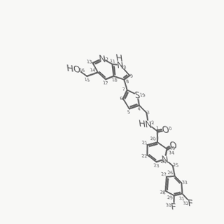 O=C(NCc1ccc(-c2c[nH]c3ncc(CO)cc23)s1)c1cccn(Cc2ccc(F)c(F)c2)c1=O